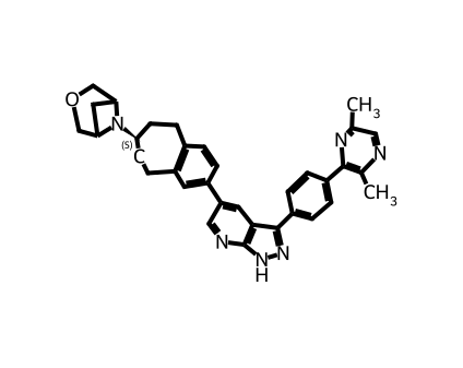 Cc1cnc(C)c(-c2ccc(-c3n[nH]c4ncc(-c5ccc6c(c5)CC[C@@H](N5C7COCC5C7)CC6)cc34)cc2)n1